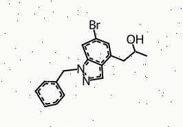 CC(O)Cc1cc(Br)cc2c1cnn2Cc1ccccc1